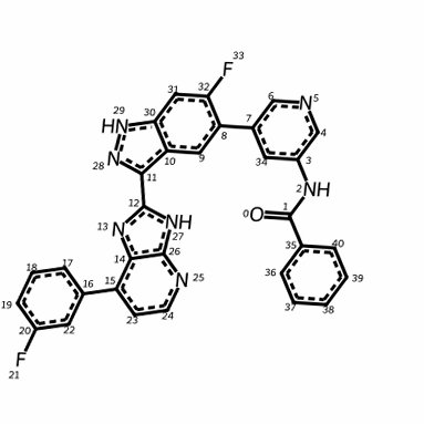 O=C(Nc1cncc(-c2cc3c(-c4nc5c(-c6cccc(F)c6)ccnc5[nH]4)n[nH]c3cc2F)c1)c1ccccc1